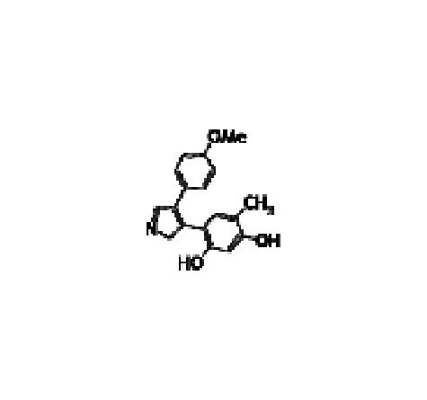 COc1ccc(C2=C(c3cc(C)c(O)cc3O)CN=C2)cc1